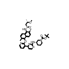 CO[C@@H](C)C[S+]([O-])Nc1c(F)ccc2c(Oc3ncccc3-c3ccnc(N[C@H]4CCCN(C(=O)OC(C)(C)C)C4)n3)c(C)ccc12